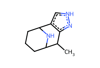 CC1c2n[nH]cc2C2CCCC1N2